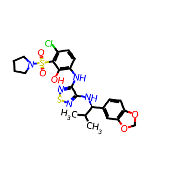 CC(C)[C@@H](Nc1nsnc1Nc1ccc(Cl)c(S(=O)(=O)N2CCCC2)c1O)c1ccc2c(c1)OCO2